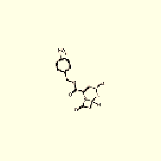 CCN1C=C(C(=O)OCc2ccc([N+](=O)[O-])cc2)N2C(=O)C[C@H]2S1